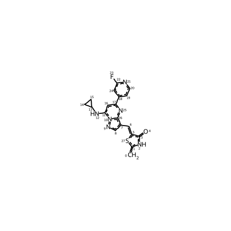 C=c1[nH]c(=O)/c(=C/c2cnn3c(NC4CC4)cc(-c4ccnc(F)c4)nc23)s1